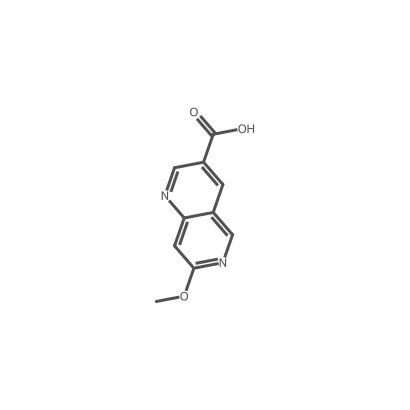 COc1cc2ncc(C(=O)O)cc2cn1